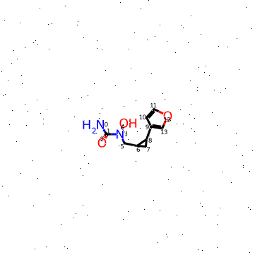 NC(=O)N(O)CC1CC1c1ccoc1